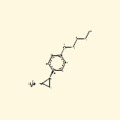 CCCCOc1ccc([C@H]2C[C@@H]2N)cc1